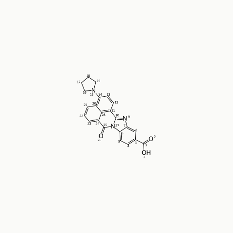 O=C(O)c1ccc2c(c1)nc1c3ccc(N4CCCC4)c4cccc(c(=O)n21)c43